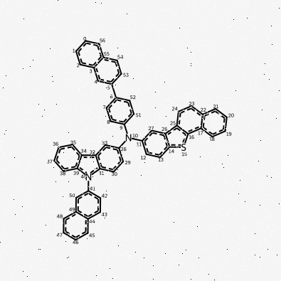 c1ccc2cc(-c3ccc(N(c4ccc5sc6c7ccccc7ccc6c5c4)c4ccc5c(c4)c4ccccc4n5-c4ccc5ccccc5c4)cc3)ccc2c1